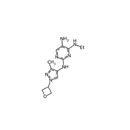 CCNc1nc(Nc2cn(C3COC3)nc2C)ncc1N